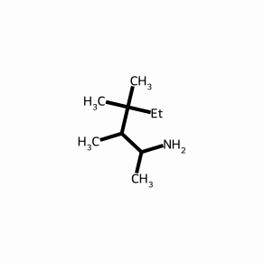 CCC(C)(C)C(C)C(C)N